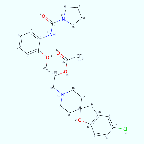 O=C(Nc1ccccc1OC[C@@H](CN1CCC2(CC1)Cc1cc(Cl)ccc1O2)OC(=O)C(F)(F)F)N1CCCC1